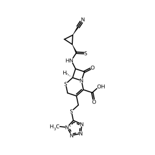 Cn1nnnc1SCC1=C(C(=O)O)N2C(=O)C(NC(=S)[C@H]3C[C@H]3C#N)[C@@H]2SC1